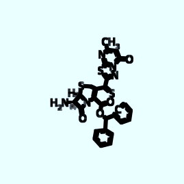 Cc1cc(=O)n2nc(C(=S)C3=C(C(=O)OC(c4ccccc4)c4ccccc4)N4C(=O)[C@@H](N)[C@H]4SC3)sc2n1